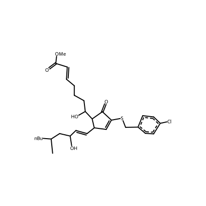 CCCCC(C)CC(O)C=CC1C=C(SCc2ccc(Cl)cc2)C(=O)C1C(O)CCCC=CC(=O)OC